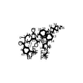 C[C@H]1Cn2c(c(C(=O)NCc3ccccc3-c3ccn(CC(F)(F)F)n3)n(-c3ccc(N4CC5(CN(C)C5)C4)cc3)c2=O)CN1C(=O)c1ccc(Br)c(C(F)(F)F)c1